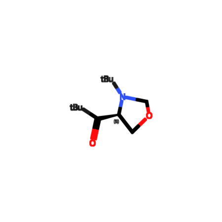 CC(C)(C)C(=O)[C@@H]1COCN1C(C)(C)C